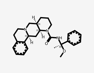 CO[C@@](C)(NC(=O)N1CCC[C@@H]2CN3CCc4ccccc4[C@@H]3C[C@@H]21)c1ccccc1